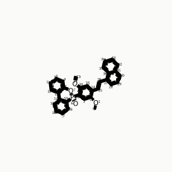 COc1cc(P2(=O)Oc3ccccc3-c3ccccc32)c(OC)cc1/C=C/c1cccc2ccccc12